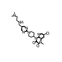 CN(C)CCNCc1cnc(N2CCC(n3c(=O)c(=O)n(C)c4cc(Cl)cnc43)CC2)nc1